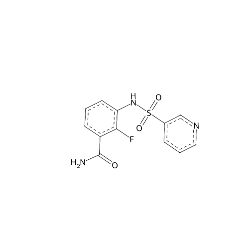 NC(=O)c1cccc(NS(=O)(=O)c2cccnc2)c1F